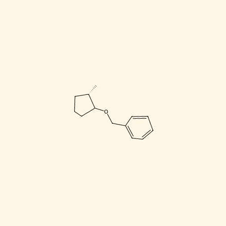 C[C@H]1CCCC1OCc1ccccc1